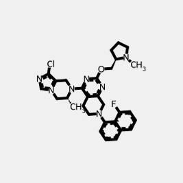 C[C@@H]1Cn2cnc(Cl)c2CN1c1nc(OC[C@H]2CCCN2C)nc2c1CCN(c1cccc3cccc(F)c13)C2